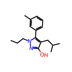 CCCn1nc(O)c(CC(C)C)c1-c1cccc(C)c1